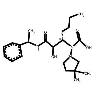 CCCC[C@@H](C(O)C(=O)NC(C)c1ccccc1)N(C(=O)O)N1CCC(C)(C)C1